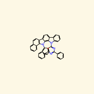 c1ccc(-c2cc(-n3c4ccccc4c4ccc5c6ccc7ccccc7c6n(-c6ccccc6)c5c43)nc(-c3ccccc3)n2)cc1